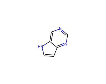 [c]1cc2ncncc2[nH]1